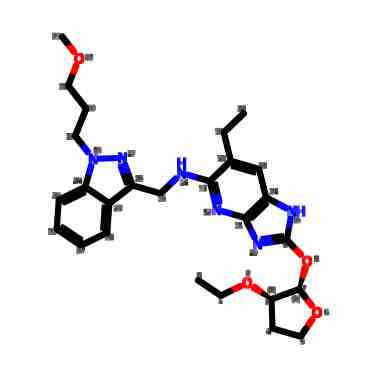 CCO[C@@H]1CCO[C@@H]1Oc1nc2nc(NCc3nn(CCCOC)c4ccccc34)c(CC)cc2[nH]1